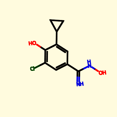 N=C(NO)c1cc(Cl)c(O)c(C2CC2)c1